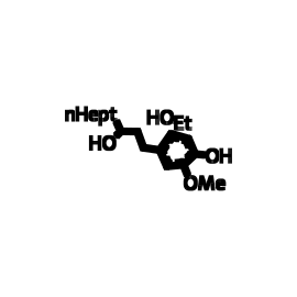 CCCCCCCC(O)CCc1ccc(O)c(OC)c1.CCO